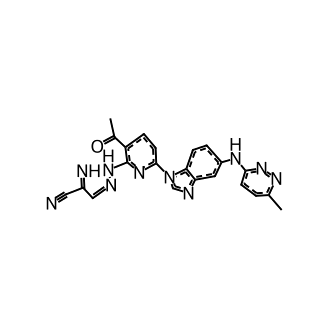 CC(=O)c1ccc(-n2cnc3cc(Nc4ccc(C)nn4)ccc32)nc1N/N=C\C(=N)C#N